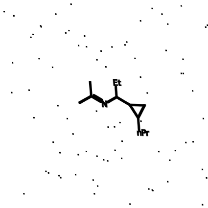 CCCC1CC1C(CC)N=C(C)C